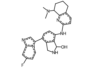 CN(C)C1CCCc2ccc(Nc3ccc(-c4cnc5cc(F)ccn45)c4c3C(O)NC4)nc21